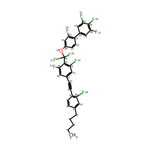 CCCCCc1ccc(C#Cc2cc(F)c(C(F)(F)Oc3ccc(-c4cc(F)c(F)c(F)c4)c(F)c3)c(F)c2)c(F)c1